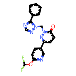 O=c1ccc(-c2ccc(OC(F)F)nc2)nn1Cn1ncnc1-c1ccccc1